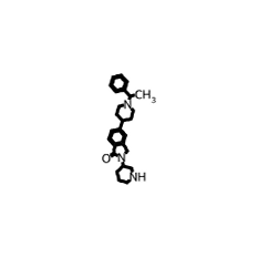 CC(c1ccccc1)N1CCC(c2ccc3c(c2)CN(C2CCCNC2)C3=O)CC1